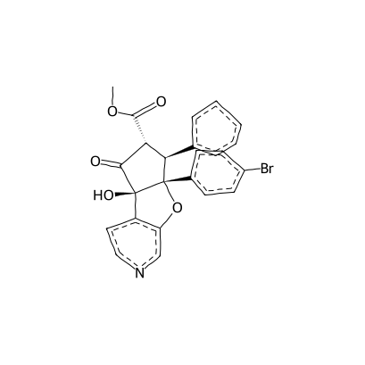 COC(=O)[C@H]1C(=O)[C@@]2(O)c3ccncc3O[C@@]2(c2ccc(Br)cc2)[C@@H]1c1ccccc1